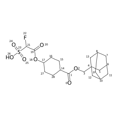 O=C(OCC12CC3CC(CC(C3)C1)C2)C1CCC(OC(=O)C(F)S(=O)(=O)O)CC1